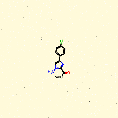 COC(=O)c1nc(-c2ccc(Cl)cc2)cn1N